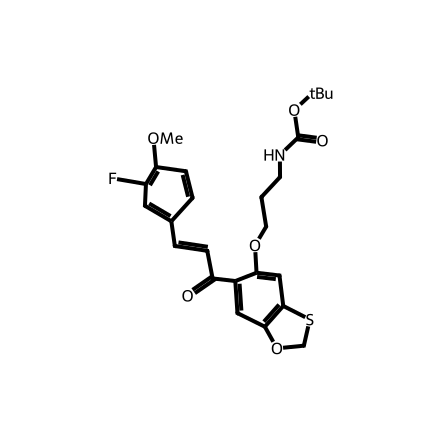 COc1ccc(/C=C/C(=O)c2cc3c(cc2OCCCNC(=O)OC(C)(C)C)SCO3)cc1F